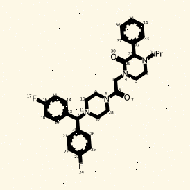 CC(C)N1CCN(CC(=O)N2CCN(C(c3ccc(F)cc3)c3ccc(F)cc3)CC2)C(=O)C1c1ccccc1